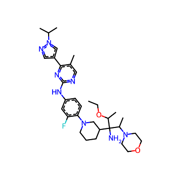 CCOC(C)C(N)(C1CCCN(c2ccc(Nc3ncc(C)c(-c4cnn(C(C)C)c4)n3)cc2F)C1)C(C)N1CCOCC1